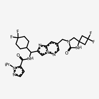 CC(C)n1nccc1C(=O)NC(c1cn2ncc(CN3CC4(CC(F)(F)C4)NC3=O)cc2n1)C1CCC(F)(F)CC1